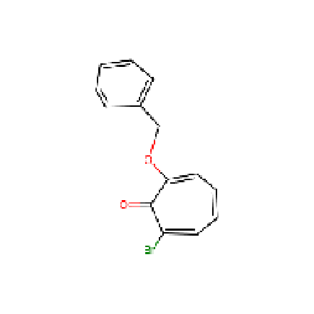 O=c1c(Br)ccccc1OCc1ccccc1